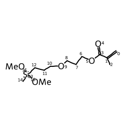 C=C(C)C(=O)OCCCOCCC[Si](C)(OC)OC